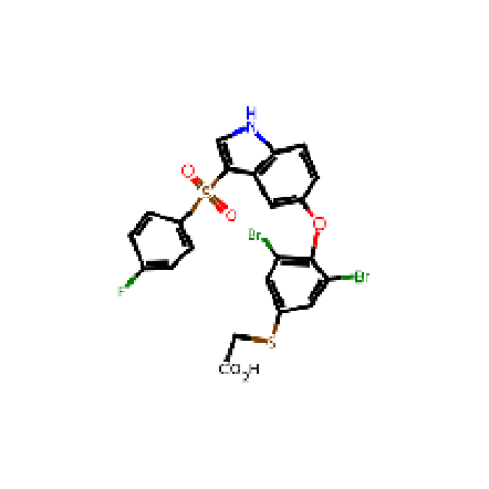 O=C(O)CSc1cc(Br)c(Oc2ccc3[nH]cc(S(=O)(=O)c4ccc(F)cc4)c3c2)c(Br)c1